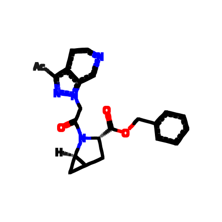 CC(=O)c1nn(CC(=O)N2[C@@H]3CC3C[C@H]2C(=O)OCc2ccccc2)c2cnccc12